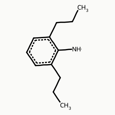 CCCc1cccc(CCC)c1[NH]